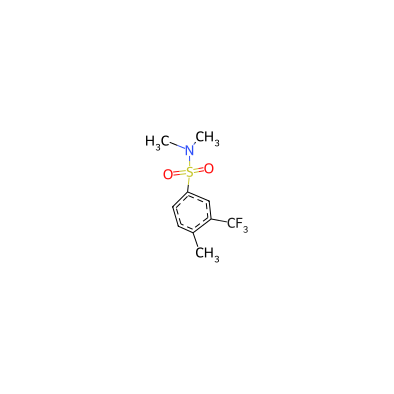 Cc1ccc(S(=O)(=O)N(C)C)cc1C(F)(F)F